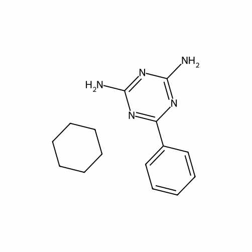 C1CCCCC1.Nc1nc(N)nc(-c2ccccc2)n1